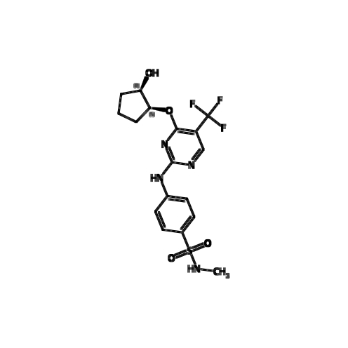 CNS(=O)(=O)c1ccc(Nc2ncc(C(F)(F)F)c(O[C@H]3CCC[C@H]3O)n2)cc1